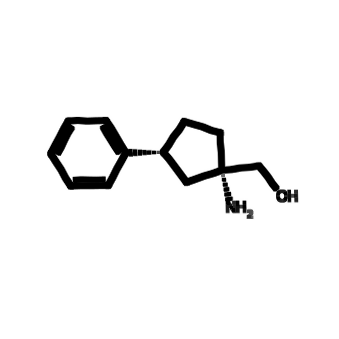 N[C@@]1(CO)CC[C@@H](c2ccccc2)C1